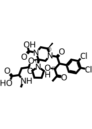 CNC(CC(=O)O[C@]1(N2CCCC2)CN(C(=O)C(c2ccc(Cl)c(Cl)c2)[C@H](O)C(C)=O)[C@H](C)CN1C(=O)O)C(=O)O